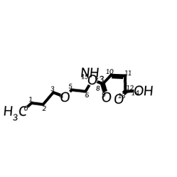 CCCCOCCOC(=O)/C=C\C(=O)O.N